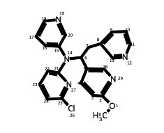 COc1ccc(C(Cc2cccnc2)N(c2cccnc2)c2cccc(Cl)n2)cn1